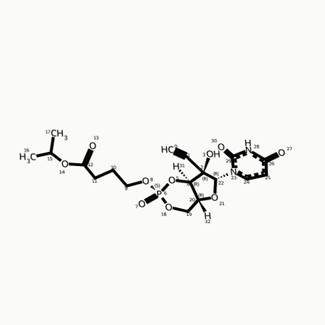 C#C[C@@]1(O)[C@@H]2O[P@@](=O)(OCCCC(=O)OC(C)C)OC[C@H]2O[C@H]1n1ccc(=O)[nH]c1=O